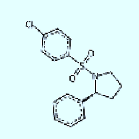 O=S(=O)(c1ccc(Cl)cc1)N1CCC[C@H]1c1ccccc1